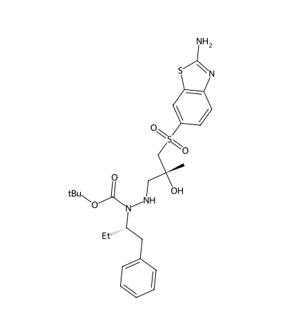 CC[C@@H](Cc1ccccc1)N(NC[C@@](C)(O)CS(=O)(=O)c1ccc2nc(N)sc2c1)C(=O)OC(C)(C)C